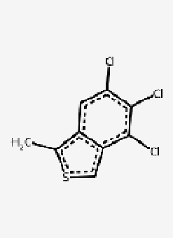 [CH2]c1scc2c(Cl)c(Cl)c(Cl)cc12